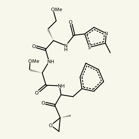 COCC[C@H](NC(=O)c1cnc(C)s1)C(=O)N[C@@H](COC)C(=O)NC(Cc1ccccc1)C(=O)[C@@]1(C)CO1